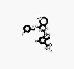 NC(=O)c1cc(F)cc2c1cnn2-c1nc2c(c(NCc3cccc(F)c3)n1)CNCCC2